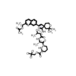 CC(=O)O[C@H](C)c1ccc2ccc(/C=C/C3(C(=O)N[C@H](C(=O)N[C@@H](C)C(=O)N4CCC[C@@H](C(=O)OCC(Cl)(Cl)Cl)N4)C(C)C)CCOC(C)(C)C3)cc2n1